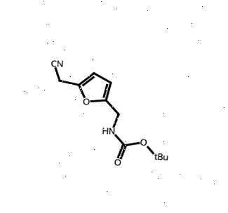 CC(C)(C)OC(=O)NCc1ccc(CC#N)o1